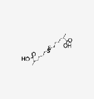 CC(CCCCSSCCCCC(C)C(=O)O)C(=O)O